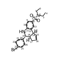 CCN(CC)S(=O)(=O)c1ccc2c(c1)[C@H]1C=CC[C@H]1[C@@H](c1ccc(Br)cc1)N2